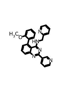 COc1ccccc1-c1cccc2nc(-c3cccnc3)nc(NCc3ccccn3)c12